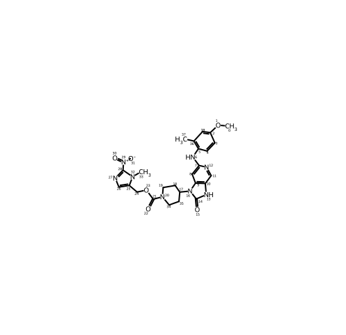 COc1ccc(Nc2cc3c(cn2)[nH]c(=O)n3C2CCN(C(=O)OCc3cnc([N+](=O)[O-])n3C)CC2)c(C)c1